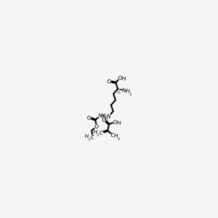 C=C(C)C(=O)O.CCOC(N)=O.NCCCC[C@H](N)C(=O)O